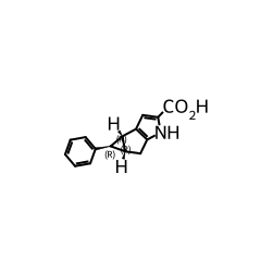 O=C(O)c1cc2c([nH]1)C[C@@H]1[C@@H](c3ccccc3)[C@H]21